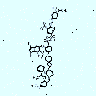 COc1ccc(CN2CCN(C3CC4(CCN(c5ccc(C(=O)NS(=O)(=O)c6cnc(NCC7(F)CCN(C(C)C)CC7)c([N+](=O)[O-])c6)c(Oc6cc7c(F)c[nH]c7nc6OC)c5)CC4)C3)[C@H](c3ccccc3C(C)C)C2)cc1